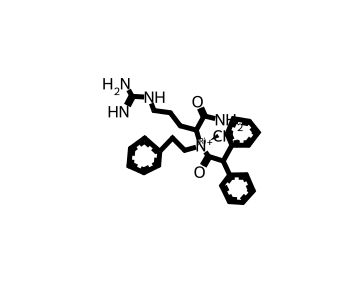 C[N@+](CCc1ccccc1)(C(=O)C(c1ccccc1)c1ccccc1)C(CCCNC(=N)N)C(N)=O